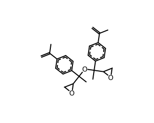 C=C(C)c1ccc(C(C)(OC(C)(c2ccc(C(=C)C)cc2)C2CO2)C2CO2)cc1